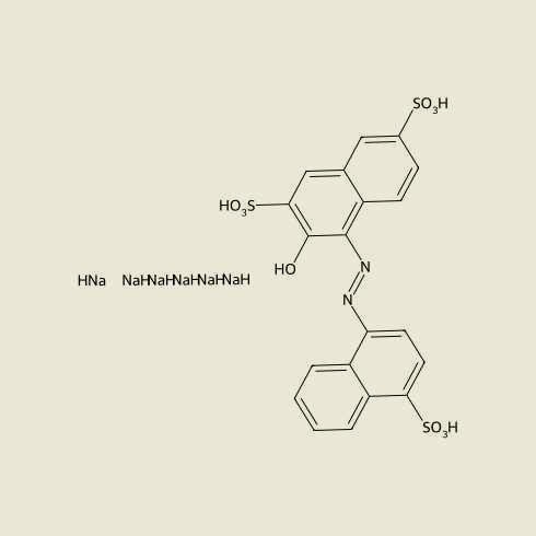 O=S(=O)(O)c1ccc2c(/N=N/c3ccc(S(=O)(=O)O)c4ccccc34)c(O)c(S(=O)(=O)O)cc2c1.[NaH].[NaH].[NaH].[NaH].[NaH].[NaH]